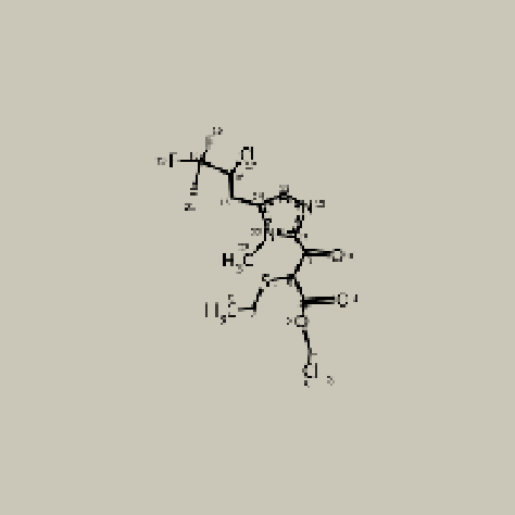 CCOC(=O)C(SCC)C(=O)c1ncc(CC(Cl)C(F)(F)F)n1C